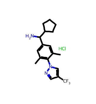 Cc1cc(C(N)C2CCCC2)cc(C)c1-n1cc(C(F)(F)F)cn1.Cl